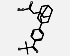 COC(=O)CC12CC3CC(C1)CC(c1ccc(C(=O)C(C)(C)Br)cc1)(C3)C2